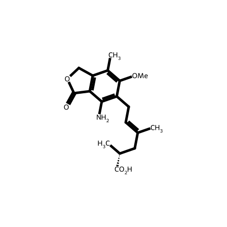 COc1c(C)c2c(c(N)c1C/C=C(\C)C[C@@H](C)C(=O)O)C(=O)OC2